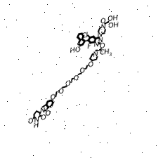 C[C@H](CN1CCC(OCCOCCOCCOCCOCCOc2ccc3c(c2)CN(C2CCC(=O)NC2=O)C3=O)CC1)Oc1nc(N2CCN(C(=O)C(O)O)CC2)c2cc(Cl)c(-c3cc(O)cc4ccccc34)c(F)c2n1